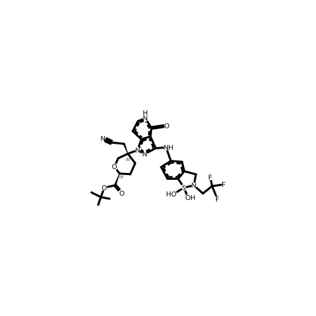 CC(C)(C)OC(=O)[C@@H]1CC[C@@](CC#N)(n2nc(Nc3ccc4c(c3)CN(CC(F)(F)F)S4(O)O)c3c(=O)[nH]ccc32)CO1